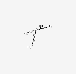 CCCCC(O)COC(CCCC)COCCOCCC